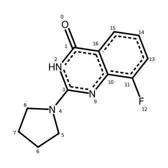 O=c1[nH]c(N2CCCC2)nc2c(F)cccc12